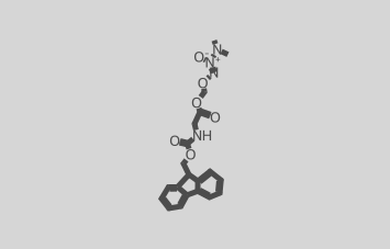 CN(C)[N+]([O-])=NOCOC(=O)CNC(=O)OCC1c2ccccc2-c2ccccc21